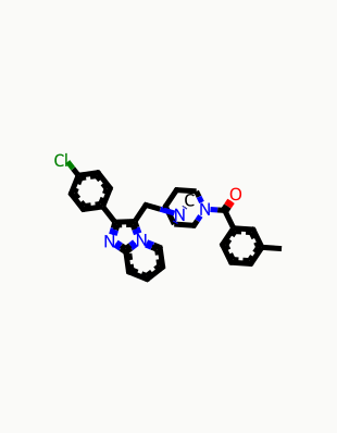 Cc1cccc(C(=O)N2CC3CCC2CN3Cc2c(-c3ccc(Cl)cc3)nc3ccccn23)c1